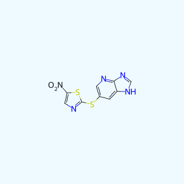 O=[N+]([O-])c1cnc(Sc2cnc3nc[nH]c3c2)s1